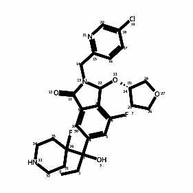 CCC(O)(c1cc(F)c2c(c1)C(=O)N(Cc1ccc(Cl)cn1)C2O[C@H]1CCOC1)C1(F)CCNCC1